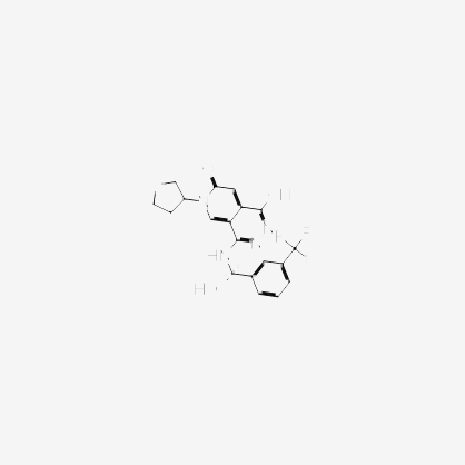 Cc1nnc(N[C@H](C)c2cccc(C(F)(F)F)c2)c2cn(C3CCOC3)c(=O)cc12